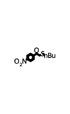 CCCCSCC(=O)c1ccc([N+](=O)[O-])cc1